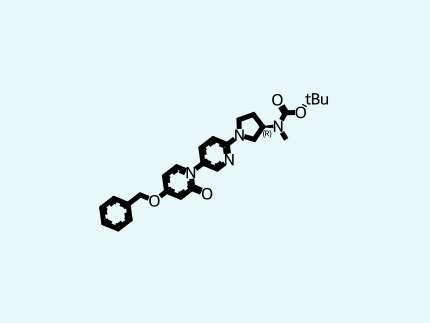 CN(C(=O)OC(C)(C)C)[C@@H]1CCN(c2ccc(-n3ccc(OCc4ccccc4)cc3=O)cn2)C1